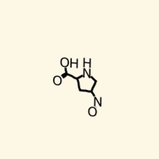 O=NC1CNC(C(=O)O)C1